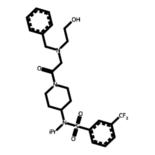 CC(C)N(C1CCN(C(=O)CN(CCO)Cc2ccccc2)CC1)S(=O)(=O)c1cccc(C(F)(F)F)c1